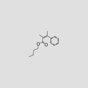 CCCCOC(=O)C(C)=C(C)c1ccccc1